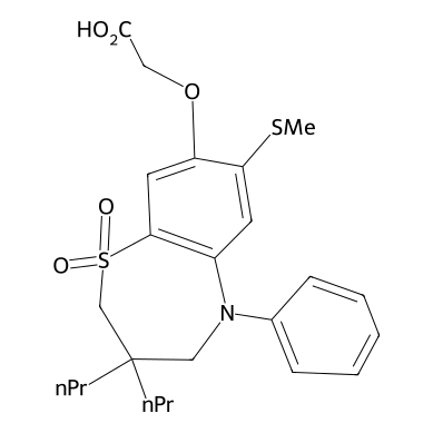 CCCC1(CCC)CN(c2ccccc2)c2cc(SC)c(OCC(=O)O)cc2S(=O)(=O)C1